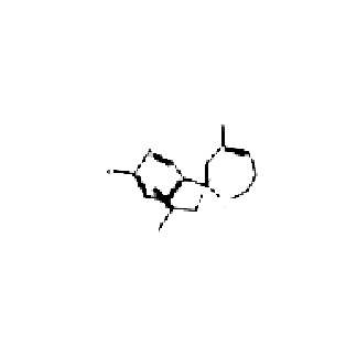 C=C(C)C[C@@]1(c2ccc(Br)cc2)CC(C)=CCCO1